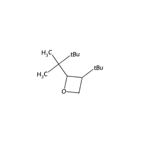 CC(C)(C)C1COC1C(C)(C)C(C)(C)C